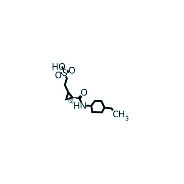 CCC1CCC(NC(=O)[C@H]2CC2CCS(=O)(=O)O)CC1